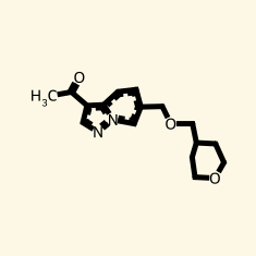 CC(=O)c1cnn2cc(COCC3CCOCC3)ccc12